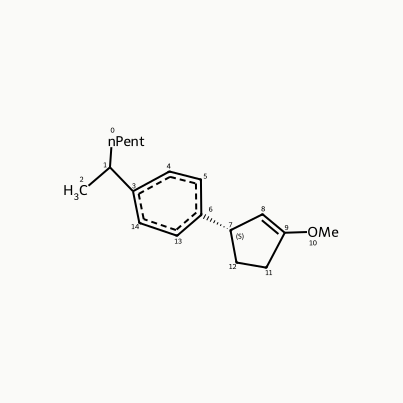 CCCCCC(C)c1ccc([C@@H]2C=C(OC)CC2)cc1